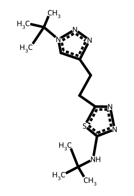 CC(C)(C)Nc1nnc(CCc2cn(C(C)(C)C)nn2)s1